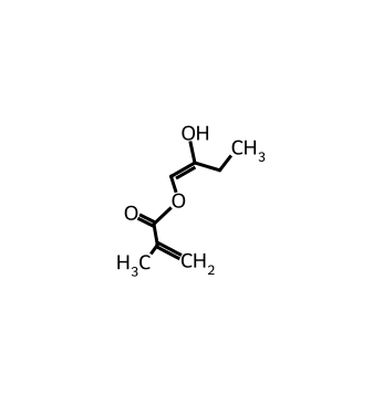 C=C(C)C(=O)O/C=C(/O)CC